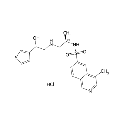 Cc1cncc2ccc(S(=O)(=O)N[C@H](C)CNCC(O)c3ccsc3)cc12.Cl